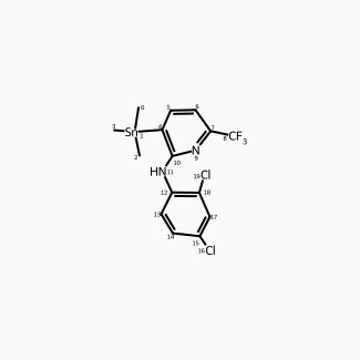 [CH3][Sn]([CH3])([CH3])[c]1ccc(C(F)(F)F)nc1Nc1ccc(Cl)cc1Cl